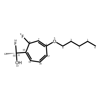 CCCCCOC1=CC(F)C([C@@](C)(O)F)=CC=C1